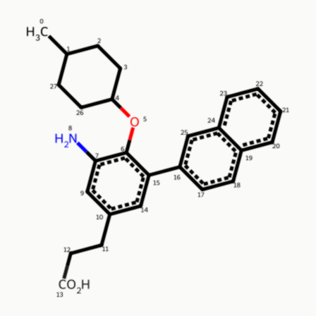 CC1CCC(Oc2c(N)cc(CCC(=O)O)cc2-c2ccc3ccccc3c2)CC1